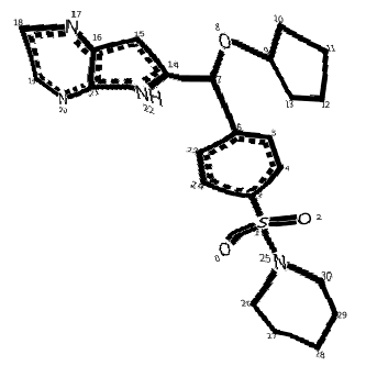 O=S(=O)(c1ccc(C(OC2CCCC2)c2cc3nccnc3[nH]2)cc1)N1CCCCC1